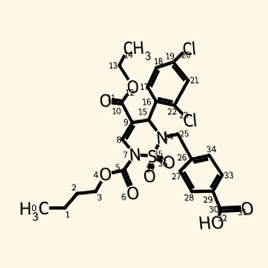 CCCCOC(=O)N1C=C(C(=O)OCC)C(c2ccc(Cl)cc2Cl)N(Cc2ccc(C(=O)O)cc2)S1(=O)=O